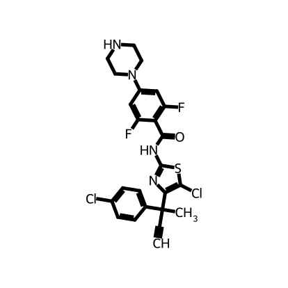 C#CC(C)(c1ccc(Cl)cc1)c1nc(NC(=O)c2c(F)cc(N3CCNCC3)cc2F)sc1Cl